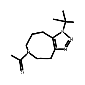 CC(=O)N1CCCc2c(nnn2C(C)(C)C)CC1